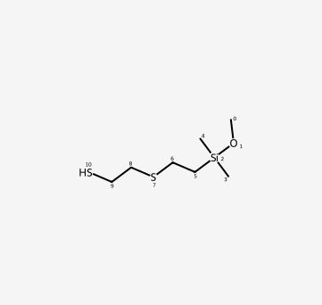 CO[Si](C)(C)CCSCCS